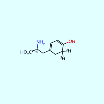 [2H]C1([2H])CC(C[C@H](N)C(=O)O)=CC=C1O